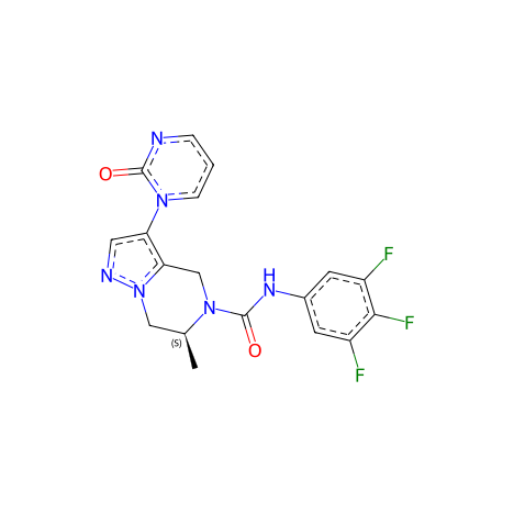 C[C@H]1Cn2ncc(-n3cccnc3=O)c2CN1C(=O)Nc1cc(F)c(F)c(F)c1